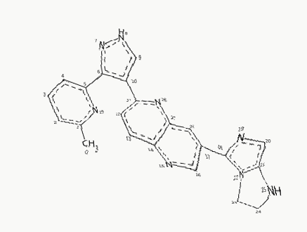 Cc1cccc(-c2n[nH]cc2-c2ccc3ncc(-c4ncc5n4CCN5)cc3n2)n1